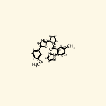 COc1cccc(-c2nnc(C3CCCN3C(=O)c3cc(C)ccc3-n3nccn3)o2)c1